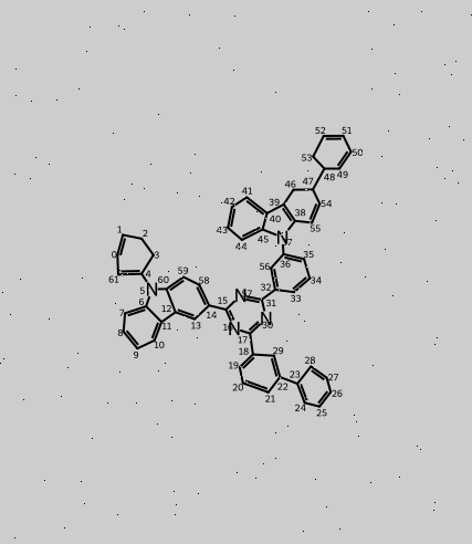 C1=CCCC(n2c3ccccc3c3cc(-c4nc(-c5cccc(-c6ccccc6)c5)nc(-c5cccc(-n6c7c(c8ccccc86)CC(C6C=CC=CC6)C=C7)c5)n4)ccc32)=C1